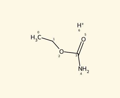 CCOC(N)=O.[H+]